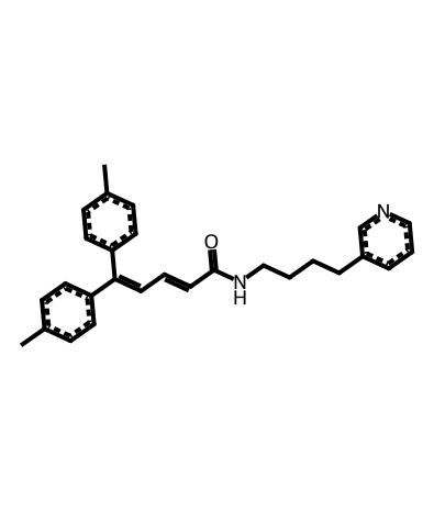 Cc1ccc(C(=CC=CC(=O)NCCCCc2cccnc2)c2ccc(C)cc2)cc1